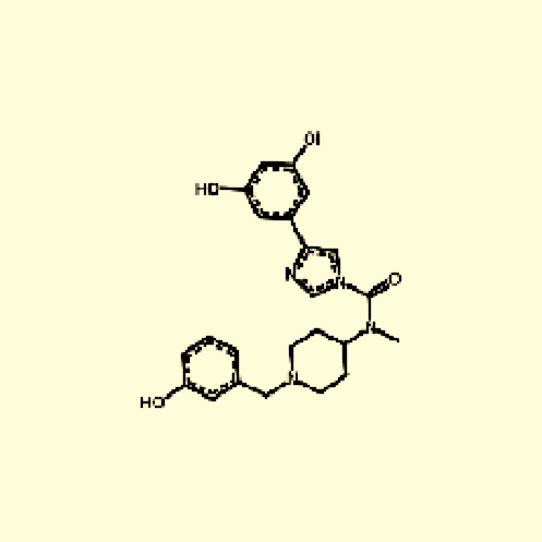 CN(C(=O)n1cnc(-c2cc(O)cc(O)c2)c1)C1CCN(Cc2cccc(O)c2)CC1